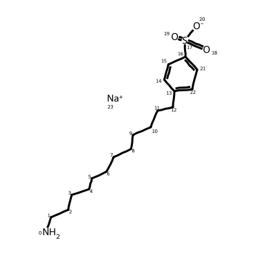 NCCCCCCCCCCCCc1ccc(S(=O)(=O)[O-])cc1.[Na+]